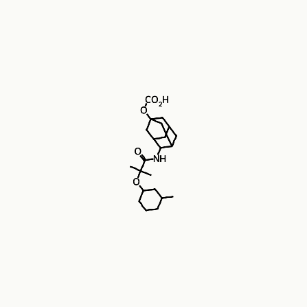 CC1CCCC(OC(C)(C)C(=O)NC2C3CC4CC2CC(OC(=O)O)(C4)C3)C1